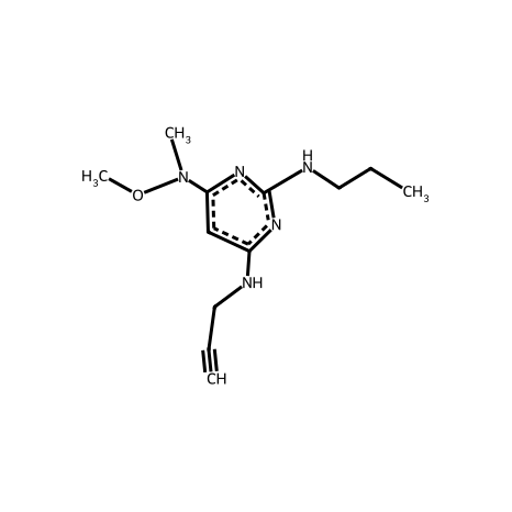 C#CCNc1cc(N(C)OC)nc(NCCC)n1